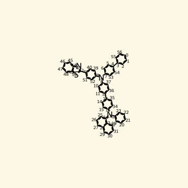 c1ccc(-c2ccc(N(c3ccc(-c4ccc(N(c5ccccc5)c5cccc6ccccc56)cc4)cc3)c3ccc(-c4nc5ccccc5s4)cc3)cc2)cc1